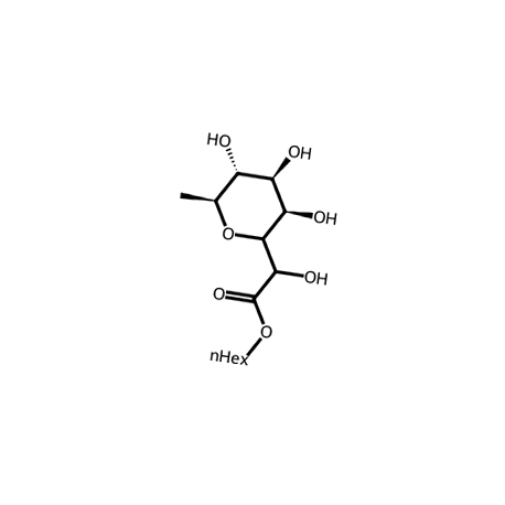 CCCCCCOC(=O)C(O)C1O[C@@H](C)[C@H](O)[C@@H](O)[C@H]1O